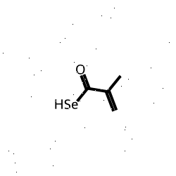 C=C(C)C(=O)[SeH]